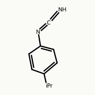 CC(C)c1ccc(N=C=N)cc1